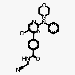 N#CCNC(=O)c1ccc(-c2nc(N(c3ccccc3)N3CCOCC3)ncc2Cl)cc1